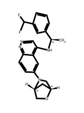 C[C@@H](Nc1cnnc2ccc(N3C[C@H]4C[C@@H]3CO4)cc12)c1cccc(C(F)F)c1